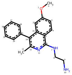 COc1ccc2c(NCCN)nc(C)c(-c3ccccc3)c2c1